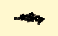 COc1ccc(CNc2nccn3c(C4CCC5C6CC6C(=O)N5C4)nc(Br)c23)c(OC)c1